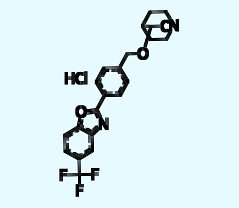 Cl.FC(F)(F)c1ccc2oc(-c3ccc(COC4CN5CCC4CC5)cc3)nc2c1